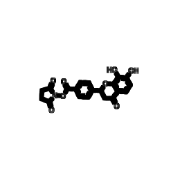 O=C(ON1C(=O)CCC1=O)c1ccc(C2CC(=O)c3ccc(O)c(O)c3O2)cc1